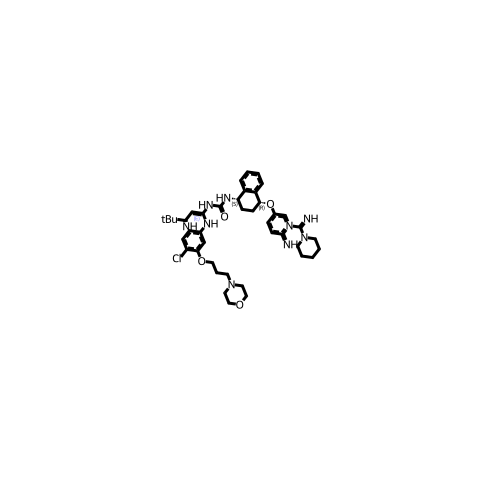 CC(C)(C)C(=N)/C=C(/NC(=O)N[C@H]1CC[C@@H](Oc2ccc(=N)n(C(=N)N3CCCCC3)c2)c2ccccc21)Nc1ccc(Cl)c(OCCCN2CCOCC2)c1